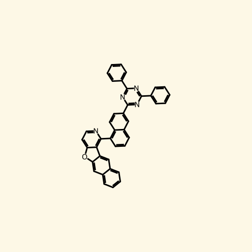 c1ccc(-c2nc(-c3ccccc3)nc(-c3ccc4c(-c5nccc6oc7cc8ccccc8cc7c56)cccc4c3)n2)cc1